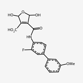 COc1cccc(-c2ccc(NC(=O)C3=C(C(=O)O)C(O)OC3O)c(F)c2)c1